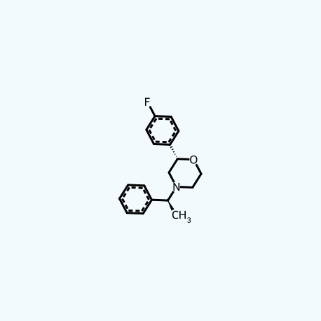 C[C@@H](c1ccccc1)N1CCO[C@@H](c2ccc(F)cc2)C1